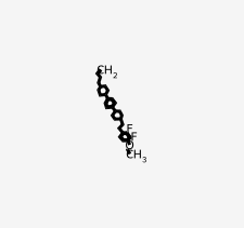 C=CCCC1CCC(c2ccc(C3CCC(CCc4ccc(OCC)c(F)c4F)CC3)cc2)CC1